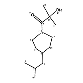 CC(C)CC1CCN(C(=O)C(C)(C)O)CC1